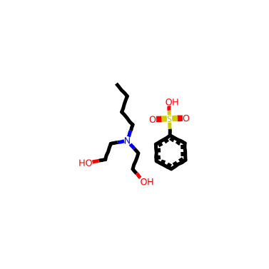 CCCCN(CCO)CCO.O=S(=O)(O)c1ccccc1